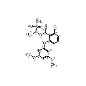 COc1cc(OC)nc(Oc2cccc(Cl)c2C(=O)ON(C)S(C)(=O)=O)n1